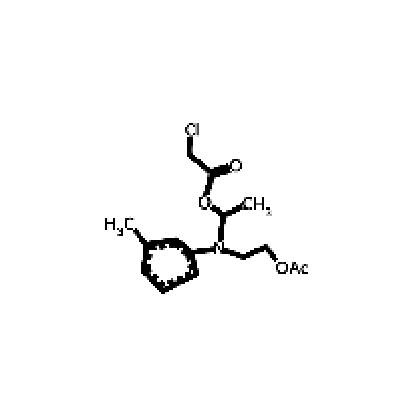 CC(=O)OCCN(c1cccc(C)c1)C(C)OC(=O)CCl